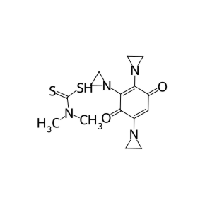 CN(C)C(=S)S.O=C1C=C(N2CC2)C(=O)C(N2CC2)=C1N1CC1